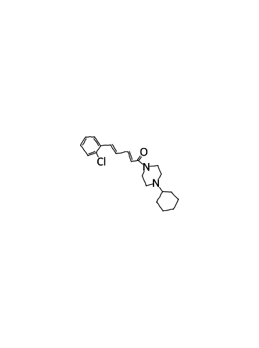 O=C(/C=C/C=C/c1ccccc1Cl)N1CCN(C2CCCCC2)CC1